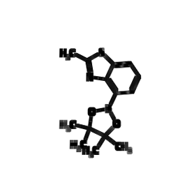 Cc1nc2c(B3OC(C)(C)C(C)(C)O3)cccc2s1